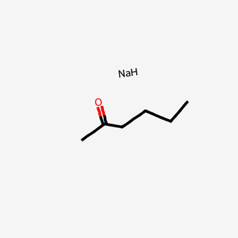 CCCCC(C)=O.[NaH]